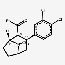 CCC(=O)[C@H]1[C@@H](c2ccc(Cl)c(Cl)c2)CC2CC[C@H]1N2C